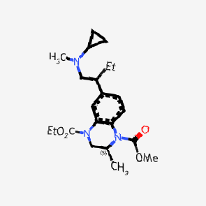 CCOC(=O)N1C[C@H](C)N(C(=O)OC)c2ccc(C(CC)CN(C)C3CC3)cc21